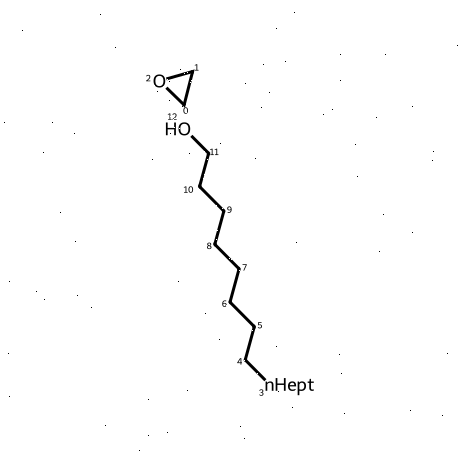 C1CO1.CCCCCCCCCCCCCCCO